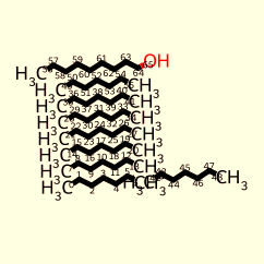 CCCCCCC.CCCCCCC.CCCCCCC.CCCCCCC.CCCCCCC.CCCCCCC.CCCCCCC.CCCCCCC.CCCCCCCCCO